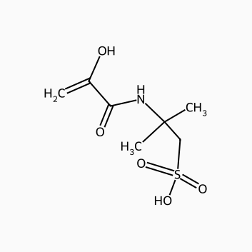 C=C(O)C(=O)NC(C)(C)CS(=O)(=O)O